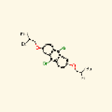 CCCCC(CC)COc1ccc2c(Br)c3cc(OCC(CC)CCCC)ccc3c(Br)c2c1